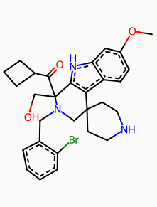 COc1ccc2c3c([nH]c2c1)C(CO)(C(=O)C1CCC1)N(Cc1ccccc1Br)CC31CCNCC1